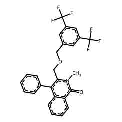 Cn1c(COCc2cc(C(F)(F)F)cc(C(F)(F)F)c2)c(-c2ccccc2)c2ccccc2c1=O